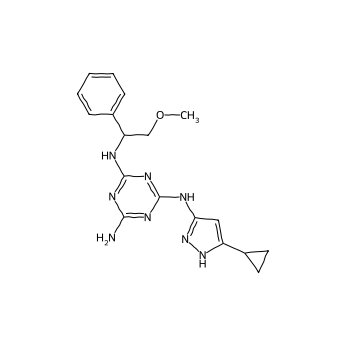 COCC(Nc1nc(N)nc(Nc2cc(C3CC3)[nH]n2)n1)c1ccccc1